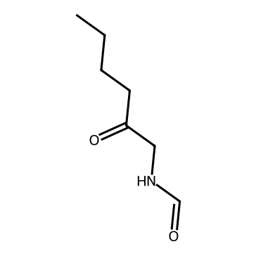 CCCCC(=O)CNC=O